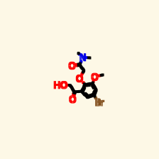 COc1cc(Br)cc(C(=O)CO)c1OCC(=O)N(C)C